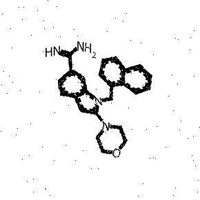 N=C(N)c1ccc2cc(N3CCOCC3)n(Cc3cccc4ccccc34)c2c1